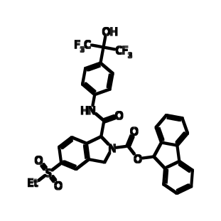 CCS(=O)(=O)c1ccc2c(c1)CN(C(=O)OC1c3ccccc3-c3ccccc31)C2C(=O)Nc1ccc(C(O)(C(F)(F)F)C(F)(F)F)cc1